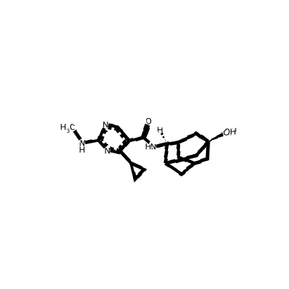 CNc1ncc(C(=O)N[C@H]2C3CC4CC2C[C@@](O)(C4)C3)c(C2CC2)n1